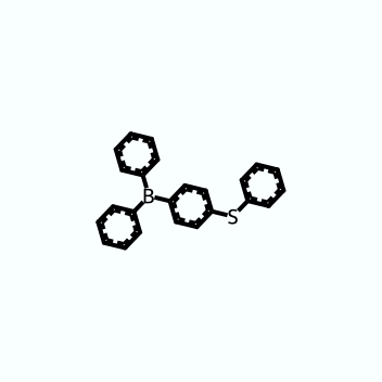 c1ccc(Sc2ccc(B(c3ccccc3)c3ccccc3)cc2)cc1